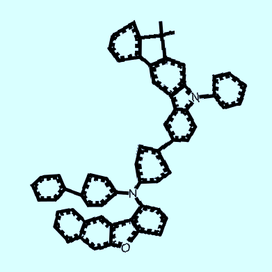 CC1(C)c2ccccc2-c2cc3c4cc(-c5ccc(N(c6ccc(-c7ccccc7)cc6)c6cccc7oc8cc9ccccc9cc8c67)cc5)ccc4n(-c4ccccc4)c3cc21